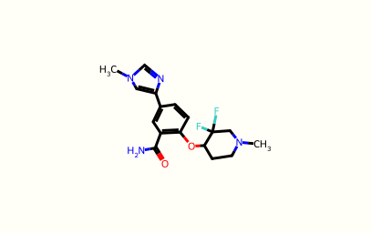 CN1CCC(Oc2ccc(-c3cn(C)cn3)cc2C(N)=O)C(F)(F)C1